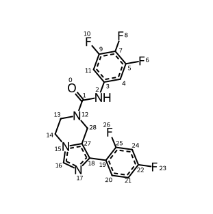 O=C(Nc1cc(F)c(F)c(F)c1)N1CCn2cnc(-c3ccc(F)cc3F)c2C1